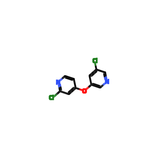 Clc1cncc(Oc2ccnc(Cl)c2)c1